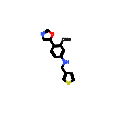 COc1cc(NCc2ccsc2)ccc1-c1cnco1